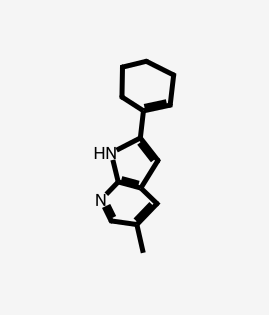 Cc1cnc2[nH]c(C3=CCCCC3)cc2c1